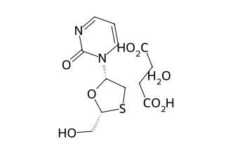 O.O=C(O)CCC(=O)O.O=c1ncccn1[C@@H]1CS[C@H](CO)O1